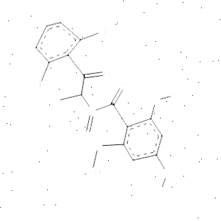 COc1cc(OC)c(C(=O)[P](=O)C(C)C(=O)c2c(Cl)cccc2Cl)c(OC)c1